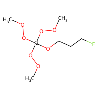 COO[Si](OCCCF)(OOC)OOC